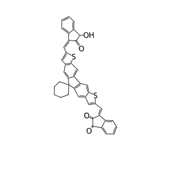 O=C1C(=O)c2ccccc2/C1=C/c1cc2cc3c(cc2s1)-c1cc2sc(/C=C4\C(=O)C(O)c5ccccc54)cc2cc1C31CCCCC1